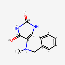 CN(Cc1ccccc1)c1c[nH]c(=O)[nH]c1=O